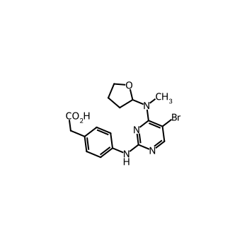 CN(c1nc(Nc2ccc(CC(=O)O)cc2)ncc1Br)C1CCCO1